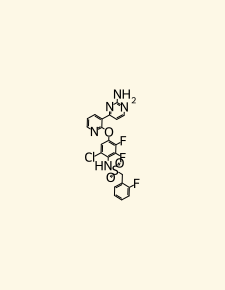 Nc1nccc(-c2cccnc2Oc2cc(Cl)c(NS(=O)(=O)Cc3ccccc3F)c(F)c2F)n1